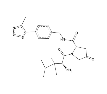 Cc1ncsc1-c1ccc(CNC(=O)[C@@H]2CC(=O)CN2C(=O)[C@@H](N)C(C)(C)C(C)C)cc1